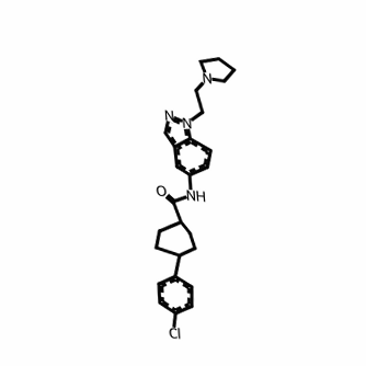 O=C(Nc1ccc2c(cnn2CCN2CCCC2)c1)C1CCC(c2ccc(Cl)cc2)CC1